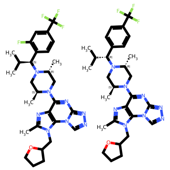 Cc1nc2c(N3C[C@@H](C)N([C@@H](c4ccc(C(F)(F)F)cc4)C(C)C)C[C@@H]3C)nc3nncn3c2n1CC1CCCO1.Cc1nc2c(N3C[C@@H](C)N([C@H](c4ccc(C(F)(F)F)cc4F)C(C)C)C[C@@H]3C)nc3nncn3c2n1CC1CCCO1